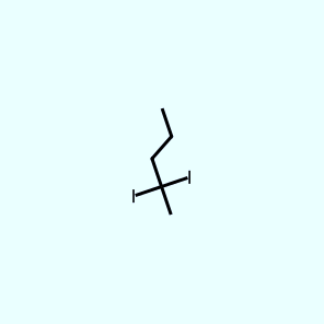 CCCC(C)(I)I